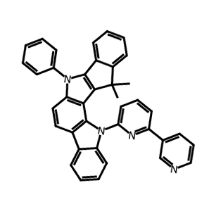 CC1(C)c2ccccc2-c2c1c1c(ccc3c4ccccc4n(-c4cccc(-c5cccnc5)n4)c31)n2-c1ccccc1